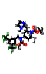 CC[C@@H]1C[C@H](N(Cc2cc(C(F)(F)F)cc(C(F)(F)F)c2)C(=O)OC)C[C@H](Cc2nccn2C)N1C(=O)OC(C)(C)C